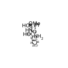 COB(O)[C@H](CC(C)C)NC(=O)[C@@H](O)[C@H](N)Cc1ccccc1